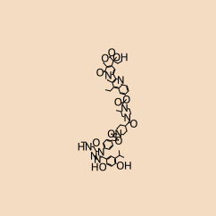 CCNC(=O)c1nnc(-c2cc(C(C)C)c(O)cc2O)n1-c1ccc(S(=O)(=O)N2CCC(C(=O)N3CCN(C(=O)Oc4ccc5nc6c(c(CC)c5c4)Cn4c-6cc5c(c4=O)COC(=O)C5(O)CC)C(C)C3)CC2)cc1